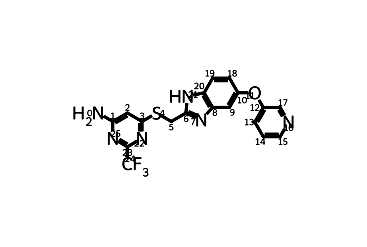 Nc1cc(SCc2nc3cc(Oc4cccnc4)ccc3[nH]2)nc(C(F)(F)F)n1